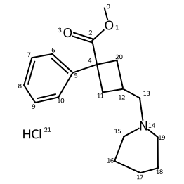 COC(=O)C1(c2ccccc2)CC(CN2CCCCC2)C1.Cl